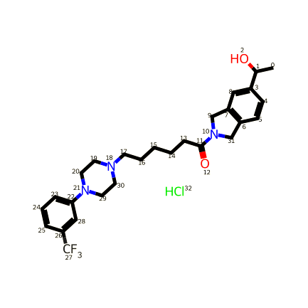 CC(O)c1ccc2c(c1)CN(C(=O)CCCCCN1CCN(c3cccc(C(F)(F)F)c3)CC1)C2.Cl